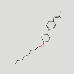 CCCCCCCCO[C@H]1CC[C@H](c2ccc(C=C(F)F)cc2)CC1